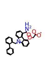 COC(=O)COc1cccc2c1c1c(C(N)=O)cccc1n2Cc1ccccc1-c1ccccc1